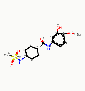 CCCCOc1ccc(NC(=O)[C@H]2CC[C@H](NS(=O)(=O)C(C)(C)C)CC2)cc1O